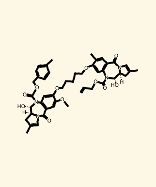 C=CCOC(=O)N1c2cc(OCCCCCOc3cc4c(cc3OC)C(=O)N3C=C(C)C[C@H]3[C@H](O)N4C(=O)OCc3ccc(C)cc3)c(C)cc2C(=O)N2C=C(C)C[C@H]2[C@@H]1O